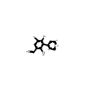 O=Cc1cc(I)c(F)c(-c2ccccc2)c1Cl